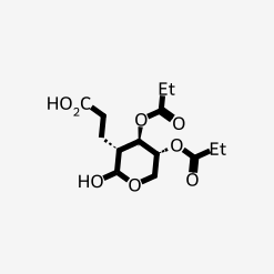 CCC(=O)O[C@H]1[C@H](OC(=O)CC)COC(O)[C@@H]1CCC(=O)O